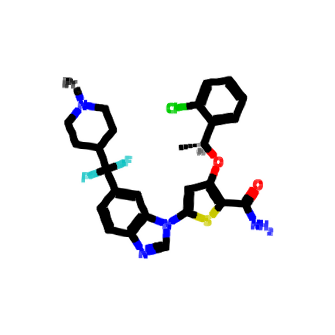 CC(C)N1CCC(C(F)(F)c2ccc3ncn(-c4cc(O[C@H](C)c5ccccc5Cl)c(C(N)=O)s4)c3c2)CC1